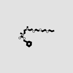 CCCOCCOCCOCCN(C)CCN(C)C(=O)OCc1ccccc1